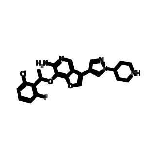 CC(Oc1c(N)ncc2c(-c3cnn(C4CCNCC4)c3)coc12)c1c(F)cccc1Cl